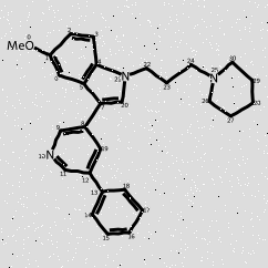 COc1ccc2c(c1)c(-c1cncc(-c3ccccc3)c1)cn2CCCN1CCCCC1